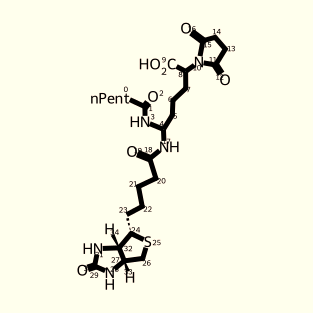 CCCCCC(=O)NC(CCCC(C(=O)O)N1C(=O)CCC1=O)NC(=O)CCCC[C@@H]1SC[C@@H]2NC(=O)N[C@@H]21